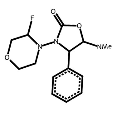 CNC1OC(=O)N(N2CCOCC2F)C1c1ccccc1